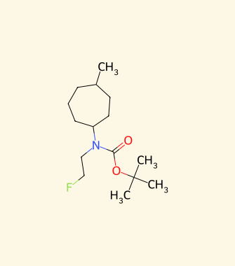 CC1CCCC(N(CCF)C(=O)OC(C)(C)C)CC1